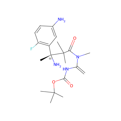 C=C(NC(=O)OC(C)(C)C)N(C)C(=O)C(C)(C)[C@](C)(N)c1cc(N)ccc1F